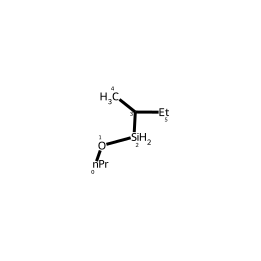 CCCO[SiH2]C(C)CC